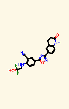 N#Cc1cc(-c2nc(-c3ccc4c(c3)CCC(=O)N4)no2)ccc1NCC(O)(F)F